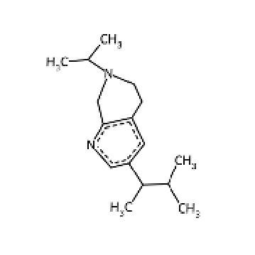 CC(C)C(C)c1cnc2c(c1)CCN(C(C)C)C2